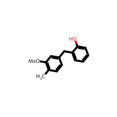 COc1cc(Cc2ccccc2O)ccc1C